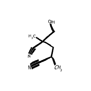 CC(C#N)CC(C)(C#N)CO